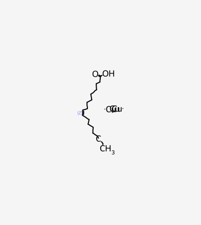 CCCCCCCC/C=C\CCCCCCCC(=O)O.[Cu].[Cu].[Cu]